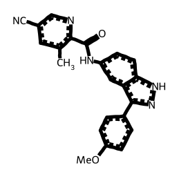 COc1ccc(-c2n[nH]c3ccc(NC(=O)c4ncc(C#N)cc4C)cc23)cc1